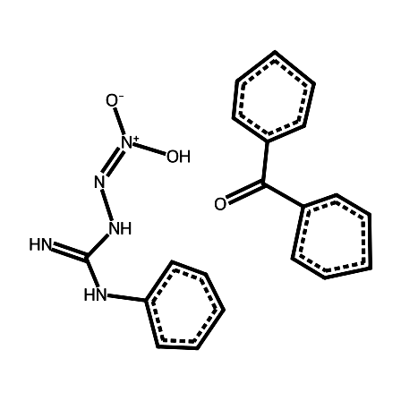 N=C(NN=[N+]([O-])O)Nc1ccccc1.O=C(c1ccccc1)c1ccccc1